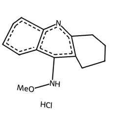 CONc1c2c(nc3ccccc13)CCCC2.Cl